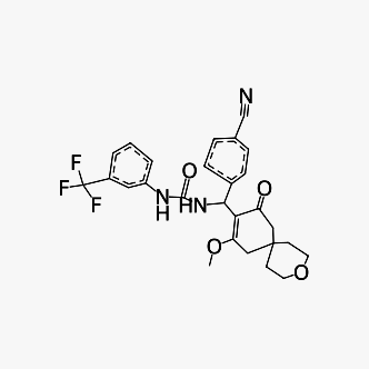 COC1=C(C(NC(=O)Nc2cccc(C(F)(F)F)c2)c2ccc(C#N)cc2)C(=O)CC2(CCOCC2)C1